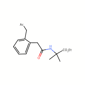 CCOC(=O)C(C)(C)NC(=O)Cc1ccccc1CC(C)=O